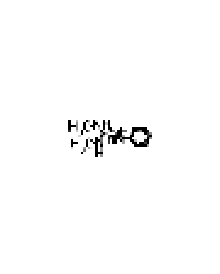 CNC(NC)[SiH2]Nc1ccccc1